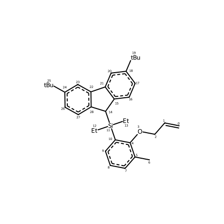 C=CCOc1c(C)cccc1[Si](CC)(CC)C1c2ccc(C(C)(C)C)cc2-c2cc(C(C)(C)C)ccc21